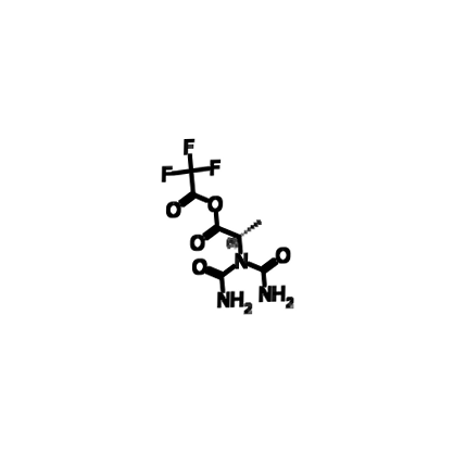 C[C@@H](C(=O)OC(=O)C(F)(F)F)N(C(N)=O)C(N)=O